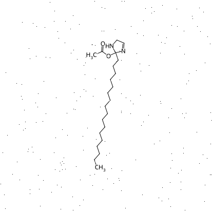 CCCCCCCCCCCCCCCCCC1(OC(C)=O)N=CCN1